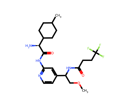 COCC(NC(=O)CCC(F)(F)F)c1ccnc(NC(=O)[C@@H](N)C2CCC(C)CC2)c1